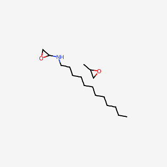 CC1CO1.CCCCCCCCCCCCNC1CO1